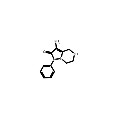 Nc1c2n(n(-c3ccccc3)c1=O)CCNC2